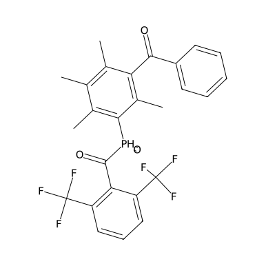 Cc1c(C)c(C(=O)c2ccccc2)c(C)c([PH](=O)C(=O)c2c(C(F)(F)F)cccc2C(F)(F)F)c1C